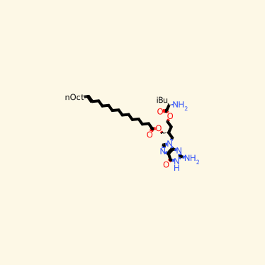 CCCCCCCCC=CCCCCCCCCCCCC(=O)OC[C@H](CCOC(=O)[C@@H](N)[C@@H](C)CC)Cn1cnc2c(=O)[nH]c(N)nc21